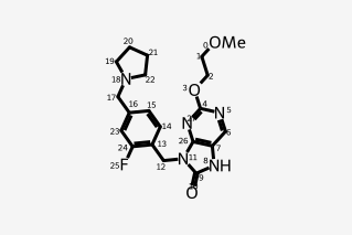 COCCOc1ncc2[nH]c(=O)n(Cc3ccc(CN4CCCC4)cc3F)c2n1